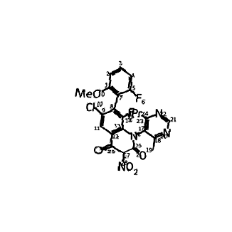 COc1cccc(F)c1-c1c(Cl)cc2c(c1F)N(c1c(C)ncnc1C(C)C)C(=O)C([N+](=O)[O-])C2=O